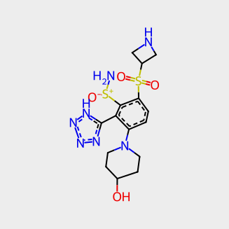 N[S+]([O-])c1c(S(=O)(=O)C2CNC2)ccc(N2CCC(O)CC2)c1-c1nnn[nH]1